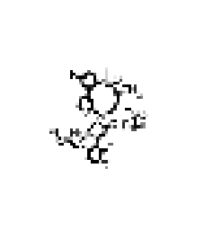 CCOc1cn(-c2ccc(Cl)c(F)c2-c2cc(=O)n([C@H]3CCC[C@@H](C)C(=O)Nc4ccc(F)cc4-c4ccnc3c4)cn2)nn1.O=C(O)C(F)(F)F